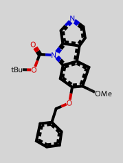 COc1cc2c3ccncc3n(C(=O)OC(C)(C)C)c2cc1OCc1ccccc1